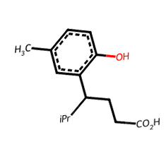 Cc1ccc(O)c(C(CCC(=O)O)C(C)C)c1